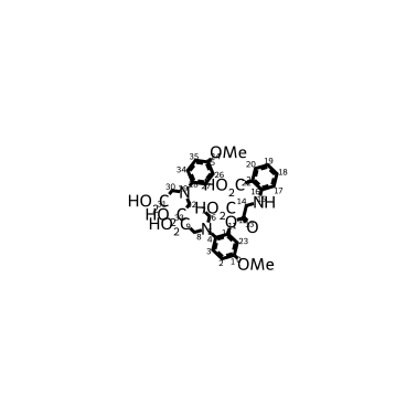 COc1ccc(N(CC(=O)O)CC(=O)O)c(OC(=O)CNc2ccccc2C(=O)O)c1.COc1ccc(N(CC(=O)O)CC(=O)O)cc1